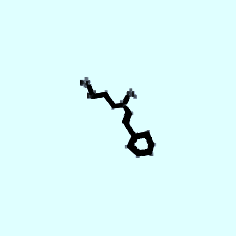 CNCCN(C)C=Cc1ccccc1